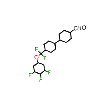 O=CC1CCC(C2CCC(C(F)(F)OC3CC(F)C(F)C(F)C3)CC2)CC1